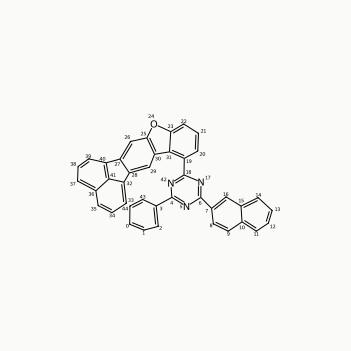 c1ccc(-c2nc(-c3ccc4ccccc4c3)nc(-c3cccc4oc5cc6c(cc5c34)-c3cccc4cccc-6c34)n2)cc1